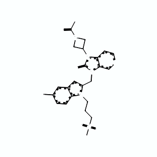 CC(=O)N1CC(n2c(=O)n(Cc3cc4cc(Cl)ccc4n3CCCS(C)(=O)=O)c3cnccc32)C1